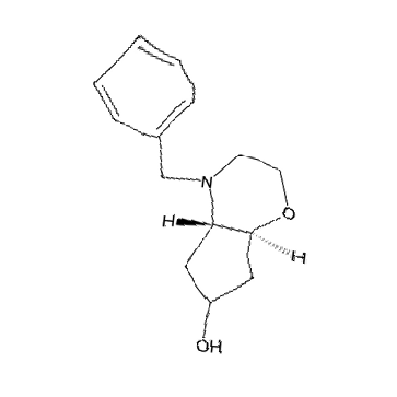 OC1C[C@@H]2OCCN(Cc3ccccc3)[C@H]2C1